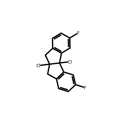 Fc1ccc2c(c1)C1(Cl)c3cc(F)ccc3CC1(Cl)C2